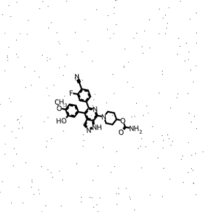 COc1ccc(-c2c(-c3ccc(C#N)c(F)c3)nc(N3CCC(OC(N)=O)CC3)c3[nH]ncc23)cc1O